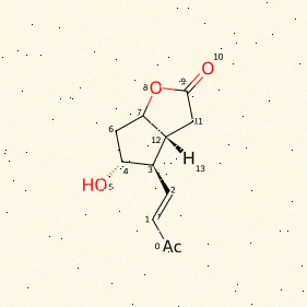 CC(=O)/C=C/[C@H]1[C@H](O)CC2OC(=O)C[C@@H]21